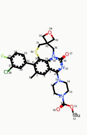 Cc1cc2c(N3CCN(C(=O)OC(C)(C)C)CC3)nc(=O)n3c2c(c1-c1ccc(F)c(Cl)c1)SCC1(COC1)C3